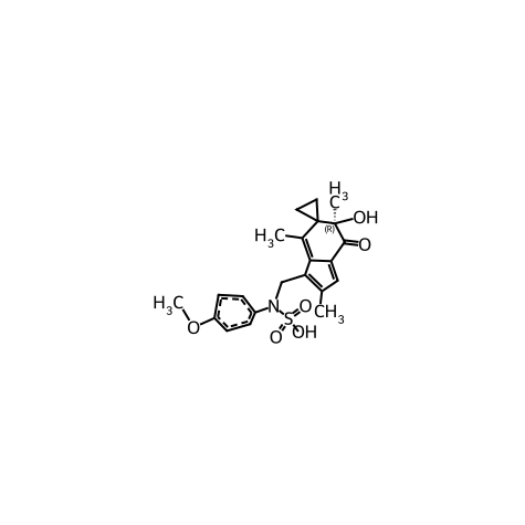 COc1ccc(N(CC2=C(C)C=C3C(=O)[C@](C)(O)C4(CC4)C(C)=C32)S(=O)(=O)O)cc1